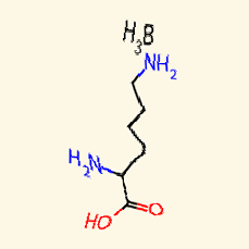 B.NCCCCC(N)C(=O)O